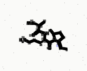 C/C=C1\CCC(C)N1C(=O)[C@H](CCCN)NC(=O)[C@H](C)NC